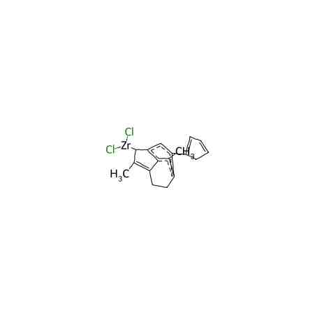 CC1=C2CCc3c(C4=CC=CC4)cc(c2c3C)[CH]1[Zr]([Cl])[Cl]